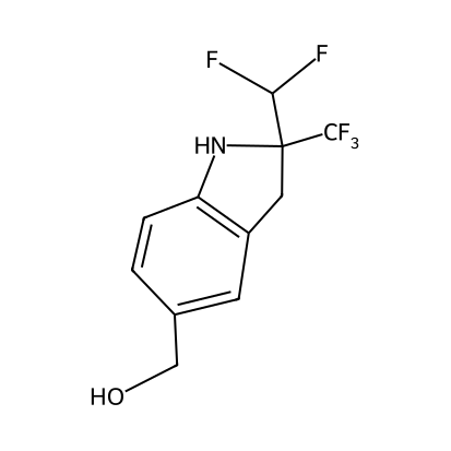 OCc1ccc2c(c1)CC(C(F)F)(C(F)(F)F)N2